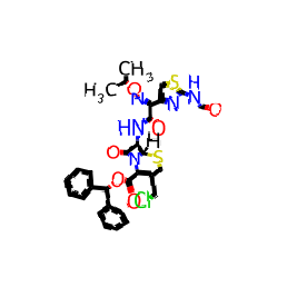 CC(C)ON=C(C(=O)NC1C(=O)N2C(C(=O)OC(c3ccccc3)c3ccccc3)=C(CCl)CS[C@@H]12)c1csc(NC=O)n1